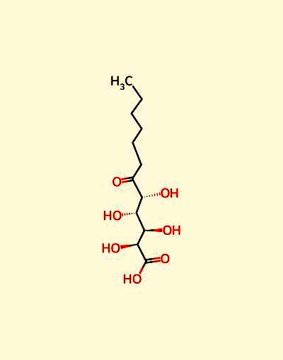 CCCCCCC(=O)[C@H](O)[C@@H](O)[C@@H](O)[C@H](O)C(=O)O